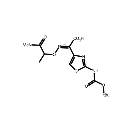 CNC(=O)C(C)O/N=C(/C(=O)O)c1csc(NC(=O)OC(C)(C)C)n1